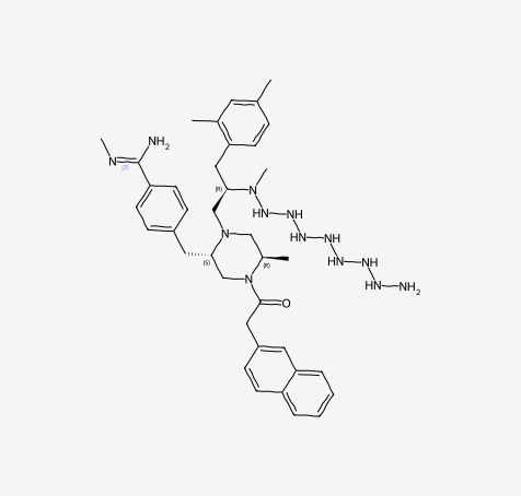 C/N=C(\N)c1ccc(C[C@H]2CN(C(=O)Cc3ccc4ccccc4c3)[C@H](C)CN2C[C@@H](Cc2ccc(C)cc2C)N(C)NNNNNNNN)cc1